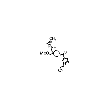 COCC1(CN[C@@H]2C[C@H]2C)CCN(C(=O)c2cnn(CCC#N)c2)CC1